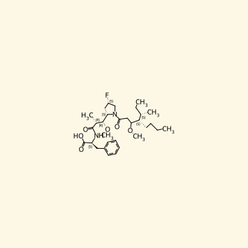 CCCC[C@H](C(CC(=O)N1C[C@@H](F)C[C@H]1[C@H](OC)[C@@H](C)C(=O)N[C@@H](Cc1ccccc1)C(=O)O)OC)[C@@H](C)CC